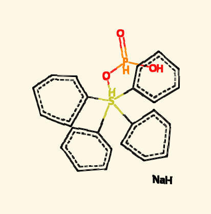 O=[PH](O)O[SH](c1ccccc1)(c1ccccc1)(c1ccccc1)c1ccccc1.[NaH]